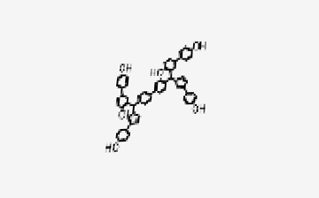 Oc1ccc(C2=CC(C(c3ccc(-c4ccc(C(c5cc(-c6ccc(O)cc6)ccc5O)C5C=CC(c6ccc(O)cc6)=C5)cc4)cc3)c3cc(-c4ccc(O)cc4)ccc3O)C=C2)cc1